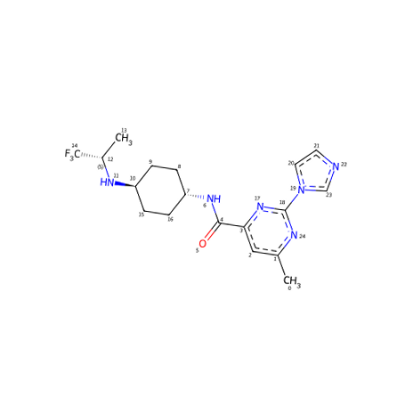 Cc1cc(C(=O)N[C@H]2CC[C@H](N[C@@H](C)C(F)(F)F)CC2)nc(-n2ccnc2)n1